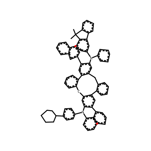 CC1(C)c2ccccc2-c2cc(N(c3ccccc3)c3cc4c(cc3-c3ccc5ccccc5c3)-c3ccccc3Cc3cc(N(c5ccccc5)c5ccc(C6CCCCC6)cc5)c(-c5ccccc5)cc3-c3ccccc3C4)ccc21